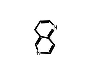 C1=CN=C2C=C[N]C=C2C1